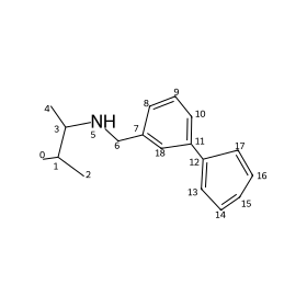 CC(C)C(C)NCc1cccc(-c2ccccc2)c1